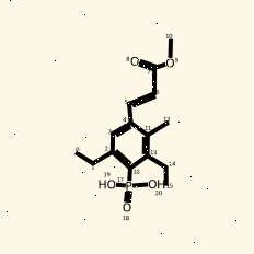 CCc1cc(C=CC(=O)OC)c(C)c(CC)c1P(=O)(O)O